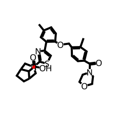 Cc1ccc(OCc2ccc(C(=O)N3CCOCC3)cc2C)c(-c2csc(N3CC4CCC(C3)C4C(=O)O)n2)c1